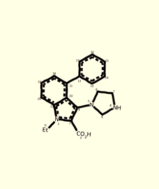 CCn1c(C(=O)O)c(N2CCNC2)c2c(-c3ccccc3)cccc21